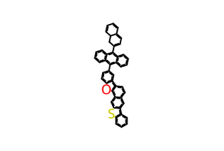 C1=CC2=CC=C(c3c4ccccc4c(-c4ccc5oc6c7cc8sc9ccccc9c8cc7ccc6c5c4)c4ccccc34)CC2C=C1